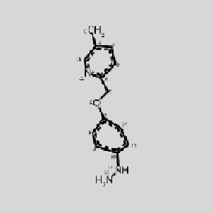 Cc1ccc(COc2ccc(NN)cc2)nc1